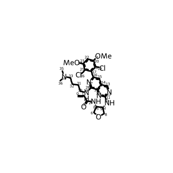 C=CC(=O)N[C@H]1COC[C@H]1Nc1ncc2cc(-c3c(Cl)c(OC)cc(OC)c3Cl)nc(NCCCCN(C)C)c2n1